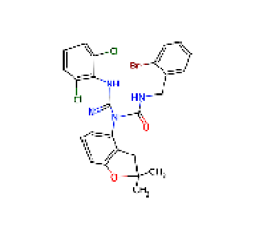 CC1(C)Cc2c(ccc3nc(Nc4c(Cl)cccc4Cl)n(C(=O)NCc4ccccc4Br)c23)O1